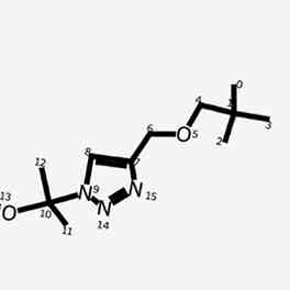 CC(C)(C)COCc1cn(C(C)(C)O)nn1